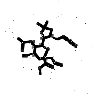 COC(=O)[C@@]1(CC=O)C[C@H](O)[C@@H](NC(C)=O)[C@H]([C@@H]2OC(C)(C)O[C@@H]2CN=[N+]=[N-])O1